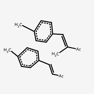 CC(=O)C(C)=Cc1ccc(C)cc1.CC(=O)C=Cc1ccc(C)cc1